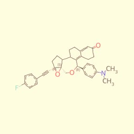 CN(C)c1ccc([C@H]2OC[C@]34O[C@@]3(C#Cc3ccc(F)cc3)CCC4C3CCC4=CC(=O)CCC4=C32)cc1